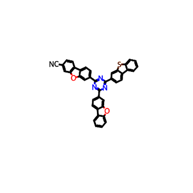 N#Cc1ccc2c(c1)oc1cc(-c3nc(-c4ccc5c(c4)oc4ccccc45)nc(-c4ccc5c(c4)sc4ccccc45)n3)ccc12